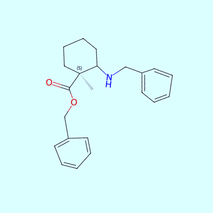 C[C@]1(C(=O)OCc2ccccc2)CCCCC1NCc1ccccc1